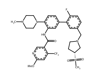 COc1cc(C(F)(F)F)c(C(=O)Nc2cc(-c3cc(CN4CC[C@@H](S(C)(=O)=O)C4)ccc3F)ccc2N2CCN(C)CC2)cn1